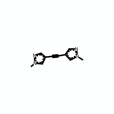 Cn1cc(C#Cc2cnn(C)c2)cn1